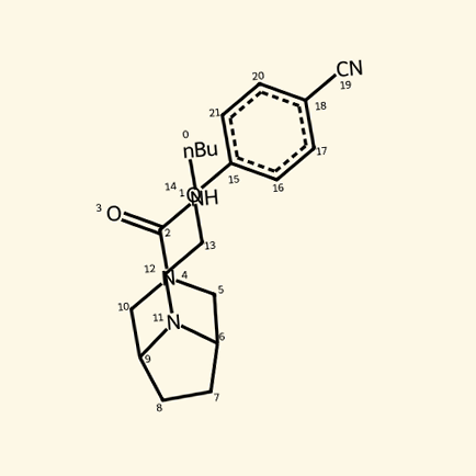 CCCCNC(=O)N1CC2CCC(C1)N2CCOc1ccc(C#N)cc1